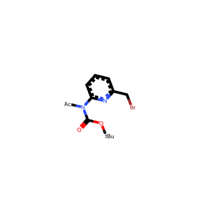 CC(=O)N(C(=O)OC(C)(C)C)c1cccc(CBr)n1